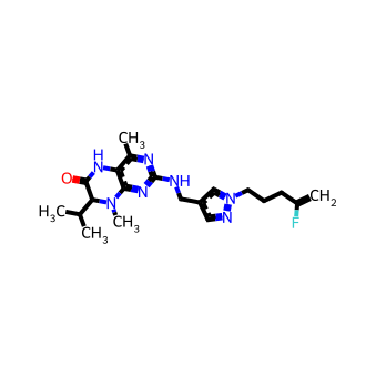 C=C(F)CCCn1cc(CNc2nc(C)c3c(n2)N(C)C(C(C)C)C(=O)N3)cn1